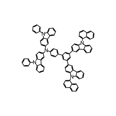 c1ccc(-n2c3ccccc3c3cc(N(c4ccc(-c5cc(-c6ccc7c(c6)c6ccccc6n7-c6cccc7ccccc67)cc(-c6ccc7c(c6)c6ccccc6n7-c6cccc7ccccc67)c5)cc4)c4ccc5c(c4)c4ccccc4n5-c4ccccc4)ccc32)cc1